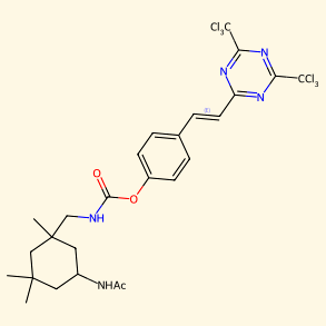 CC(=O)NC1CC(C)(C)CC(C)(CNC(=O)Oc2ccc(/C=C/c3nc(C(Cl)(Cl)Cl)nc(C(Cl)(Cl)Cl)n3)cc2)C1